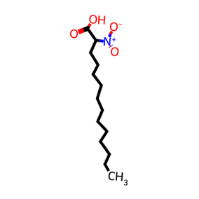 CCCCCCCCCCCCC(C(=O)O)[N+](=O)[O-]